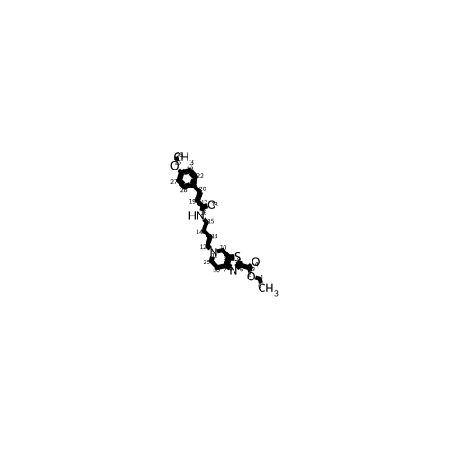 CCOC(=O)c1nc2c(s1)CN(CCCCNC(=O)/C=C/c1ccc(OC)cc1)CC2